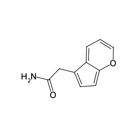 NC(=O)Cc1ccc2occcc1-2